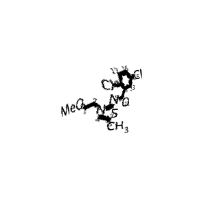 COCCn1cc(C)s/c1=N\C(=O)c1cc(Cl)ccc1Cl